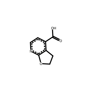 O=C(O)c1ccnc2c1CCO2